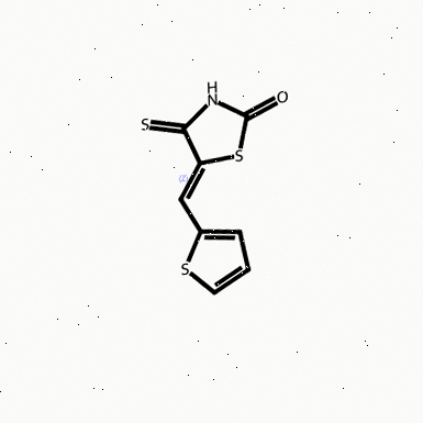 O=C1NC(=S)/C(=C/c2cccs2)S1